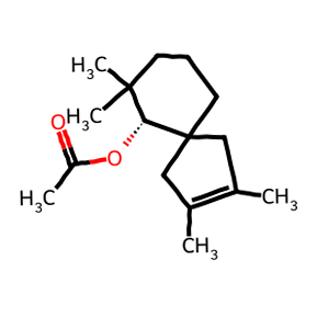 CC(=O)O[C@@H]1C(C)(C)CCCC12CC(C)=C(C)C2